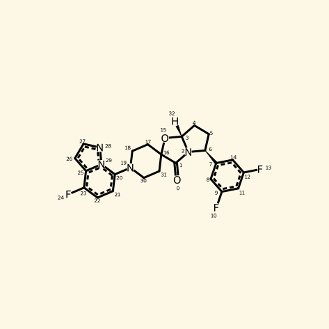 O=C1N2[C@@H](CC[C@H]2c2cc(F)cc(F)c2)OC12CCN(c1ccc(F)c3ccnn13)CC2